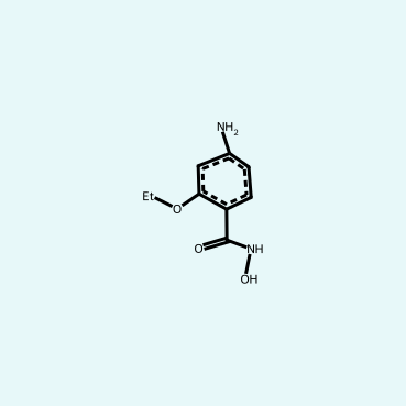 CCOc1cc(N)ccc1C(=O)NO